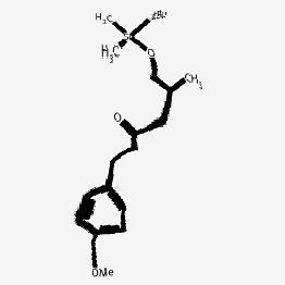 COc1ccc(CCC(=O)CC(C)CO[Si](C)(C)C(C)(C)C)cc1